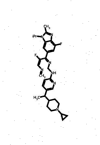 C=N/C=C(F)\C(=N/CNc1ccc(C(C)C2CCN(C3CC3)CC2)cn1)c1cc(F)c2nc(C)n(C(C)C)c2c1